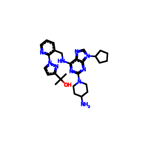 CC(C)(O)c1ccn(-c2ncccc2CNc2nc(N3CCC(N)CC3)nc3c2ncn3C2CCCC2)n1